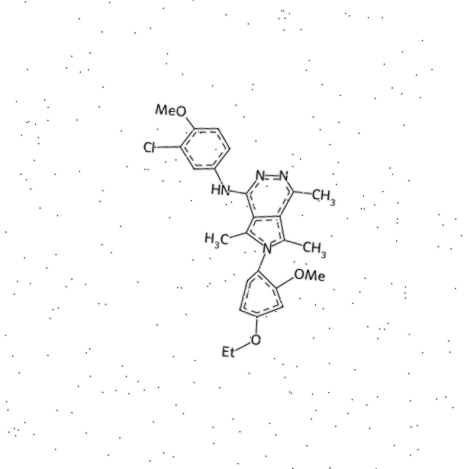 CCOc1ccc(-n2c(C)c3c(C)nnc(Nc4ccc(OC)c(Cl)c4)c3c2C)c(OC)c1